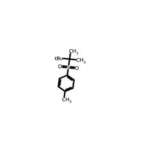 Cc1ccc(S(=O)(=O)C(C)(C)C(C)(C)C)cc1